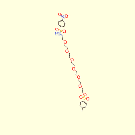 Cc1ccc(S(=O)(=O)OCCOCCOCCOCCOCCOCCOCCNS(=O)(=O)c2ccc([N+](=O)[O-])cc2)cc1